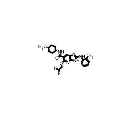 C[C@H]1CC[C@H](NC(=O)c2cc3nc(Nc4ccccc4C(F)(F)F)[nH]c3nc2OCC(F)F)CC1